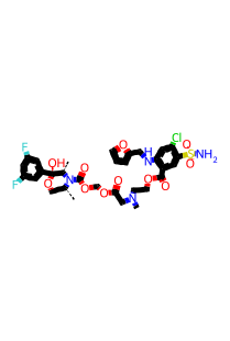 C[C@@H]1CO[C@@](O)(c2cc(F)cc(F)c2)[C@H](C)N1C(=O)OCOC(=O)CN(C)CCOC(=O)c1cc(S(N)(=O)=O)c(Cl)cc1NCc1ccco1